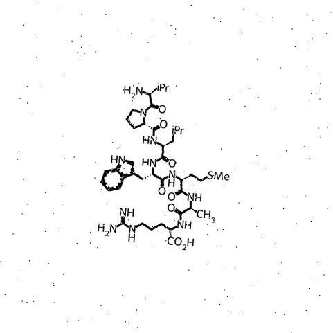 CSCC[C@H](NC(=O)[C@H](Cc1c[nH]c2ccccc12)NC(=O)[C@H](CC(C)C)NC(=O)[C@@H]1CCCN1C(=O)[C@@H](N)C(C)C)C(=O)N[C@@H](C)C(=O)N[C@@H](CCCNC(=N)N)C(=O)O